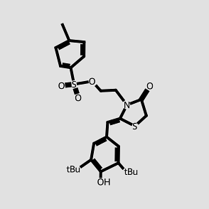 Cc1ccc(S(=O)(=O)OCCN2C(=O)CSC2=Cc2cc(C(C)(C)C)c(O)c(C(C)(C)C)c2)cc1